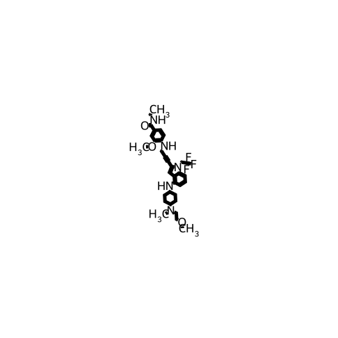 CCNC(=O)c1ccc(NCC#Cc2cc3c(N[C@H]4CC[C@H](N(C)CCOC)CC4)cccc3n2CC(F)(F)F)c(OC)c1